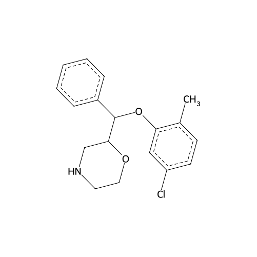 Cc1ccc(Cl)cc1OC(c1ccccc1)C1CNCCO1